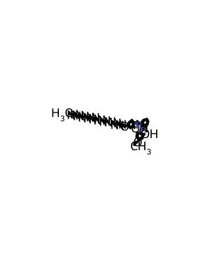 CCOc1ccc(/C=N/c2ccccc2/N=C/c2ccc(ON=NN=NN=NN=NN=NN=NN=NN=NN=NN=NC)cc2O)c(O)c1